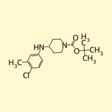 Cc1cc(NC2CCN(C(=O)OC(C)(C)C)CC2)ccc1Cl